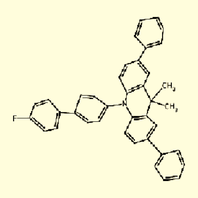 CC1(C)c2cc(-c3ccccc3)ccc2N(c2ccc(-c3ccc(F)cc3)cc2)c2ccc(-c3ccccc3)cc21